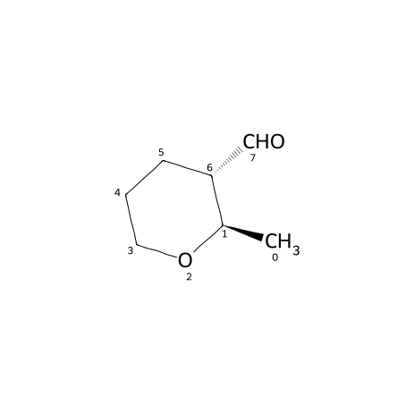 C[C@H]1OCCC[C@@H]1C=O